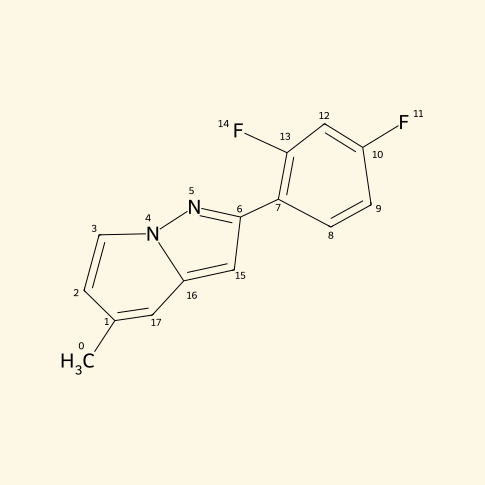 Cc1ccn2nc(-c3ccc(F)cc3F)cc2c1